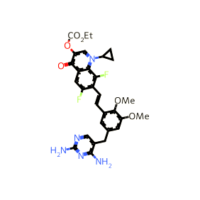 CCOC(=O)Oc1cn(C2CC2)c2c(F)c(/C=C/c3cc(Cc4cnc(N)nc4N)cc(OC)c3OC)c(F)cc2c1=O